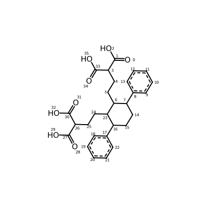 O=C(O)C(CCC1C(c2ccccc2)CCC(c2ccccc2)C1CCC(C(=O)O)C(=O)O)C(=O)O